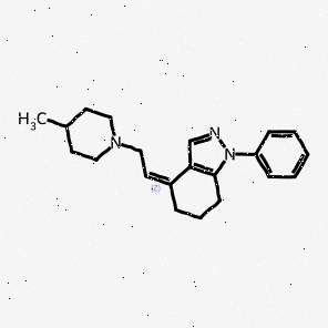 CC1CCN(C/C=C2/CCCc3c2cnn3-c2ccccc2)CC1